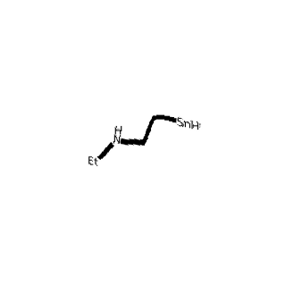 CCNC[CH2][SnH]